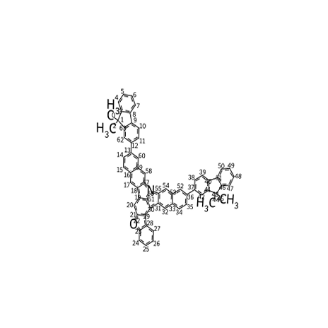 CC1(C)c2ccccc2-c2ccc(-c3ccc4cc5c6cc7oc8ccccc8c7c7c8cc9ccc(-c%10ccc%11c(c%10)C(C)(C)c%10ccccc%10-%11)cc9cc8n(c5cc4c3)c67)cc21